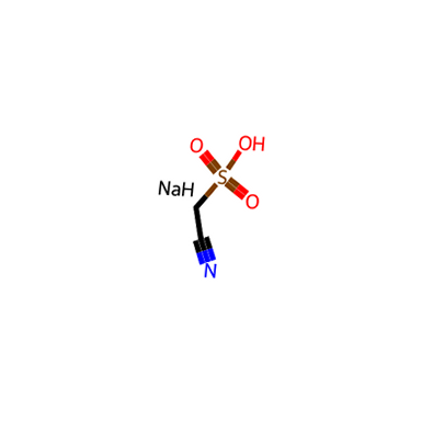 N#CCS(=O)(=O)O.[NaH]